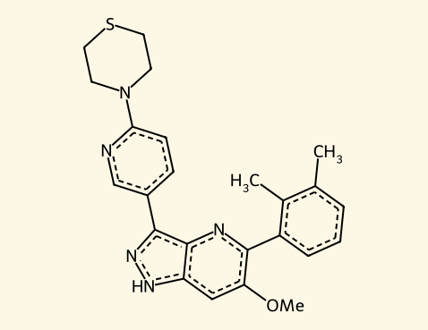 COc1cc2[nH]nc(-c3ccc(N4CCSCC4)nc3)c2nc1-c1cccc(C)c1C